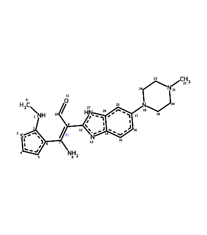 CNc1sccc1/C(N)=C(\C=O)c1nc2ccc(N3CCN(C)CC3)cc2[nH]1